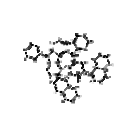 c1ccc(-n2c3ccccc3c3c4c(ccc32)c2ccccc2n4C2=NC(c3cccc4ccccc34)NC(c3cccc4ccccc34)=N2)cc1